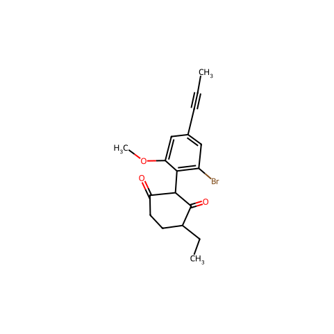 CC#Cc1cc(Br)c(C2C(=O)CCC(CC)C2=O)c(OC)c1